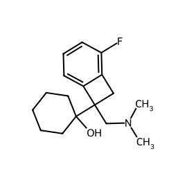 CN(C)CC1(C2(O)CCCCC2)Cc2c(F)cccc21